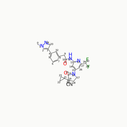 Cn1cc(-c2cccc(CC(=O)Nc3cc(N4CC[C@@](C#N)(C5CC5)C4=O)cc(C(F)F)n3)c2)cn1